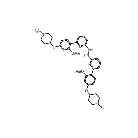 CCN1CCC(Oc2ccc(-c3cccc(NNc4cccc(-c5ccc(OC6CCN(C)CC6)cc5OC)n4)n3)c(OC)c2)CC1